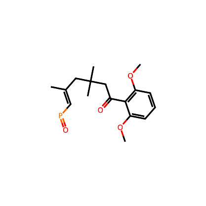 COc1cccc(OC)c1C(=O)CC(C)(C)CC(C)=CP=O